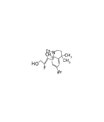 CCN1CCC(C)(C)c2cc(C(C)C)cc(C(C)=C(F)CO)c21